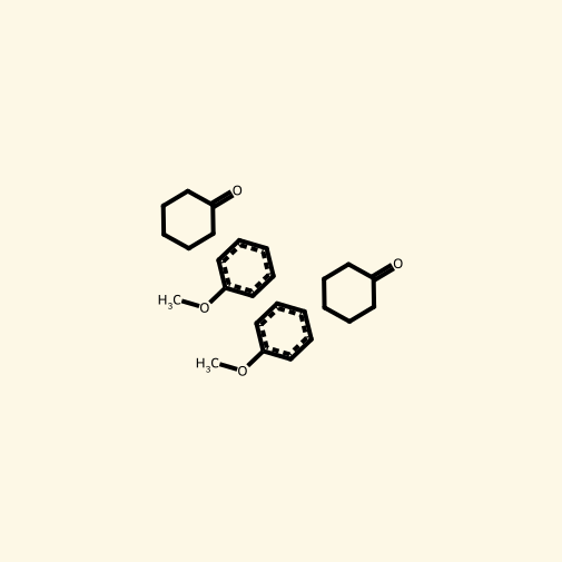 COc1ccccc1.COc1ccccc1.O=C1CCCCC1.O=C1CCCCC1